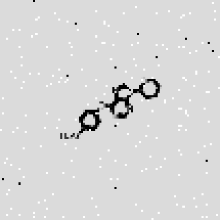 [AsH2]c1ccc(Oc2ncnc3c2ncn3C2CCCCO2)cc1